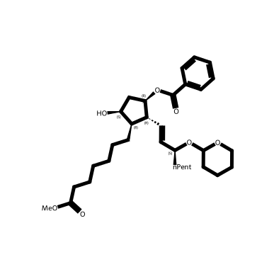 CCCCC[C@@H](C=C[C@@H]1[C@@H](CCCCCCC(=O)OC)[C@@H](O)C[C@H]1OC(=O)c1ccccc1)OC1CCCCO1